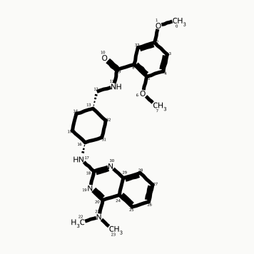 COc1ccc(OC)c(C(=O)NC[C@H]2CC[C@@H](Nc3nc(N(C)C)c4ccccc4n3)CC2)c1